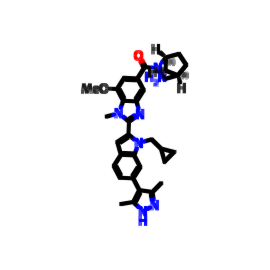 COc1cc(C(=O)N2C[C@H]3CC[C@@H]2[C@@H]3N)cc2nc(-c3cc4ccc(-c5c(C)n[nH]c5C)cc4n3CC3CC3)n(C)c12